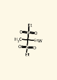 CCC(C)(S(=O)(=O)CC)S(=O)(=O)CC.[W]